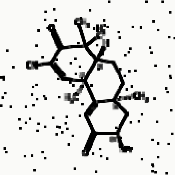 [C-]#[N+]C1=C[C@]2(C)C3=CC(=O)[C@H](CCC)C[C@]3(C)CC[C@H]2C(C)(C)C1=O